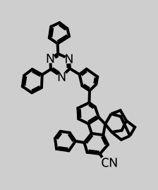 N#Cc1cc(-c2ccccc2)c2c(c1)C1(c3cc(-c4cccc(-c5nc(-c6ccccc6)nc(-c6ccccc6)n5)c4)ccc3-2)C2CC3CC(C2)CC1C3